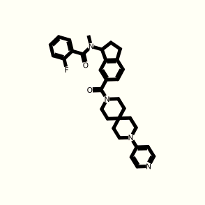 CN(C(=O)c1ccccc1F)C1CCc2ccc(C(=O)N3CCC4(CC3)CCN(c3ccncc3)CC4)cc21